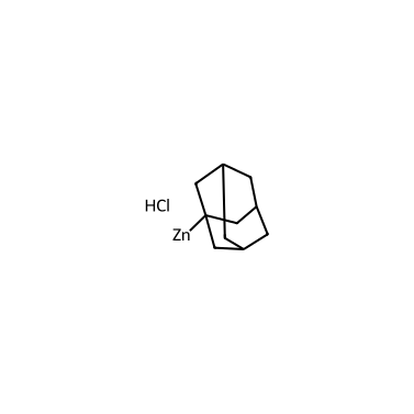 Cl.[Zn][C]12CC3CC(CC(C3)C1)C2